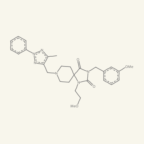 COCCN1C(=O)N(Cc2cccc(OC)c2)C(=O)C12CCN(Cc1nn(-c3ccccc3)nc1C)CC2